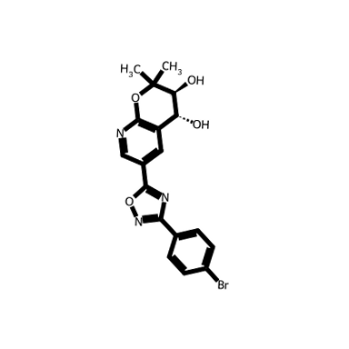 CC1(C)Oc2ncc(-c3nc(-c4ccc(Br)cc4)no3)cc2[C@@H](O)[C@@H]1O